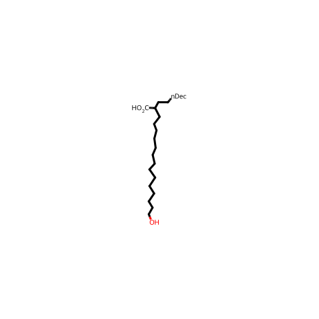 CCCCCCCCCCCCC(CCCCCCCCCCCCCCO)C(=O)O